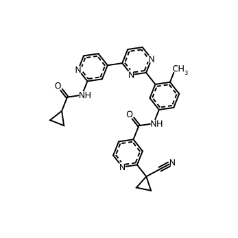 Cc1ccc(NC(=O)c2ccnc(C3(C#N)CC3)c2)cc1-c1nccc(-c2ccnc(NC(=O)C3CC3)c2)n1